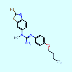 N#CN(C(N)=Nc1ccc(OCCCC(F)(F)F)cc1)c1ccc2nc(S)sc2c1